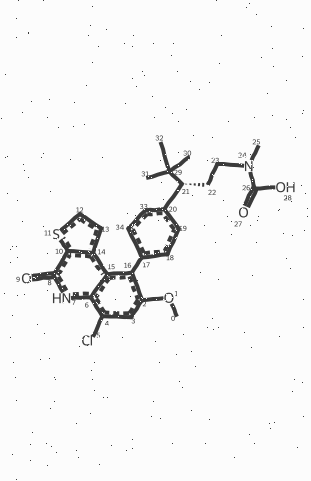 COc1cc(Cl)c2[nH]c(=O)c3sccc3c2c1-c1ccc([C@@H](CCN(C)C(=O)O)C(C)(C)C)cc1